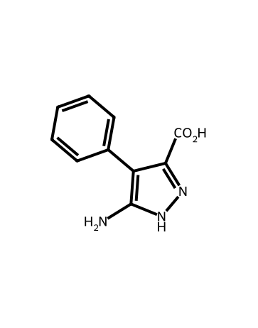 Nc1[nH]nc(C(=O)O)c1-c1ccccc1